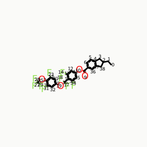 CCC1Cc2ccc(C(=O)Oc3cc(F)c(C(F)(F)Oc4cc(F)c(OC(F)(F)F)c(F)c4)c(F)c3)cc2C1